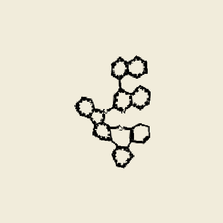 C1=CC2=C(CC1)Sc1c(ccc3c4ccccc4n(-c4cc(-c5cccc6ccccc56)c5ccccc5n4)c13)-c1ccccc12